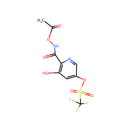 CC(=O)ONC(=O)c1ncc(OS(=O)(=O)C(F)(F)F)cc1O